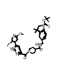 COc1cc(-c2cc(C(=O)N3CCC(C(=O)NCc4ccc5c(c4)C(C)(C)CN5C(=O)OC(C)(C)C)CC3)n[nH]2)c(F)cn1